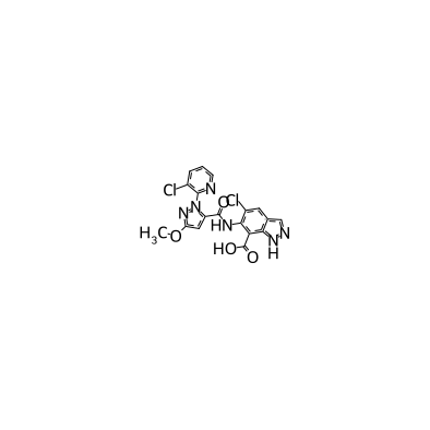 COc1cc(C(=O)Nc2c(Cl)cc3cn[nH]c3c2C(=O)O)n(-c2ncccc2Cl)n1